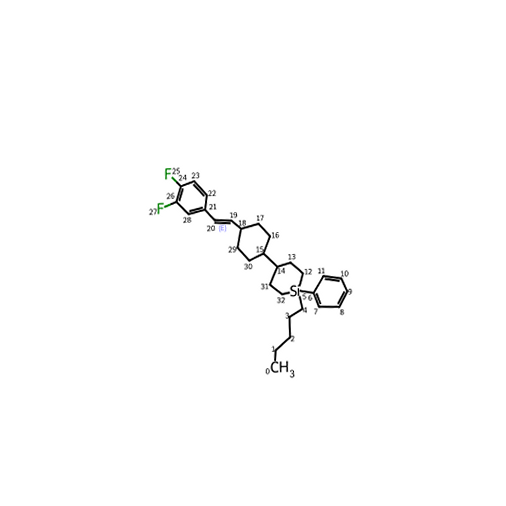 CCCCC[Si]1(c2ccccc2)CCC(C2CCC(/C=C/c3ccc(F)c(F)c3)CC2)CC1